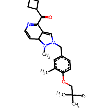 Cc1cc(CN2C=C3C(C(=O)C4CCC4)=NC=CC3N2C)ccc1OCC(C)(C)C(C)C